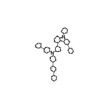 c1ccc(-c2ccc(-c3ccc(N(c4ccc(-c5ccccc5)cc4)c4cccc(-c5cccc6c5c5cc(-c7ccccc7)ccc5n6-c5ccccc5)c4)cc3)cc2)cc1